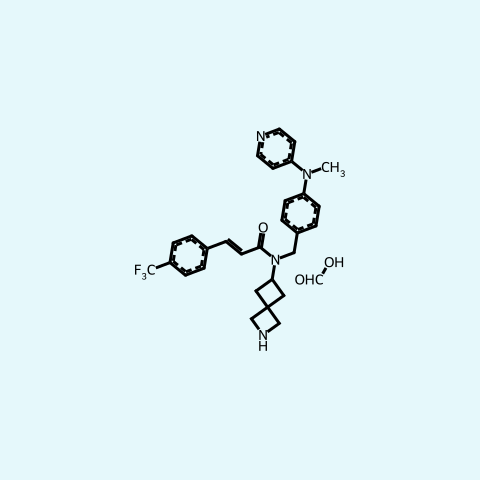 CN(c1ccncc1)c1ccc(CN(C(=O)/C=C/c2ccc(C(F)(F)F)cc2)C2CC3(CNC3)C2)cc1.O=CO